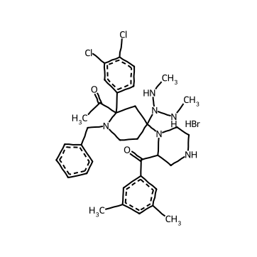 Br.CNN(NC)C1(N2CCNCC2C(=O)c2cc(C)cc(C)c2)CCN(Cc2ccccc2)C(C(C)=O)(c2ccc(Cl)c(Cl)c2)C1